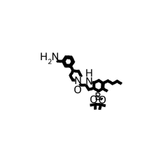 CCCCC1=C(C)C(B2OC(C)(C)C(C)(C)O2)C2CC(C(=O)N3CCC(c4cccc(CN)c4)CC3)NC2C1